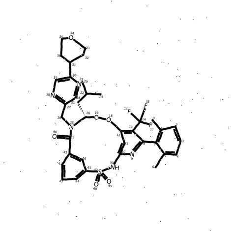 Cc1cccc(C)c1-c1nc2cc(c1C(F)(F)F)OC[C@@H](CC(C)C)N(Cc1cnc(C3CCOCC3)cn1)C(=O)c1cccc(c1)S(=O)(=O)N2